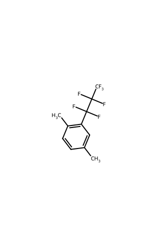 Cc1ccc(C)c(C(F)(F)C(F)(F)C(F)(F)F)c1